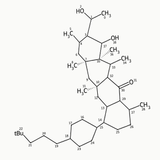 CC(O)C1C(C)C[C@]2(C)C[C@]3(C)CC4C(C5CCC(CCCC(C)(C)C)CC5)CCC(C)C4C(=O)C3C(C)[C@]2(C)C1O